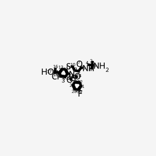 CC(C)(N)CNC(=O)CC1CSc2cc(C(C)(O)C(F)(F)F)ccc2N1S(=O)(=O)c1ccc(F)cc1